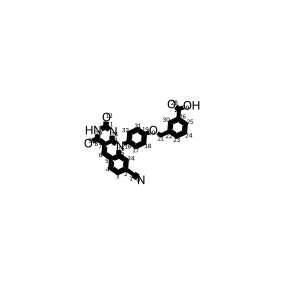 N#Cc1ccc2cc3c(=O)[nH]c(=O)nc-3n(-c3ccc(OCc4cccc(C(=O)O)c4)cc3)c2c1